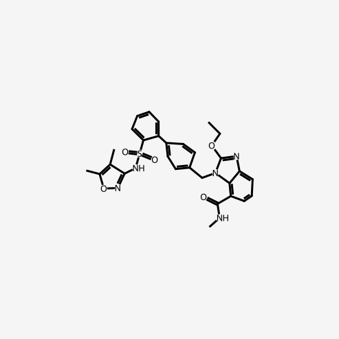 CCOc1nc2cccc(C(=O)NC)c2n1Cc1ccc(-c2ccccc2S(=O)(=O)Nc2noc(C)c2C)cc1